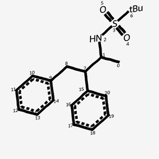 CC(NS(=O)(=O)C(C)(C)C)C(Cc1ccccc1)c1ccccc1